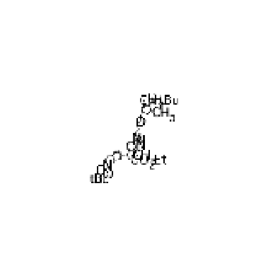 CCOC(=O)CC(c1ccc2c(c1)CN(C(=O)OC(C)(C)C)CC2)c1ccc2c(nnn2CCCOCc2cc(C)c(C(=O)OC(C)(C)C)c(C)c2)c1C